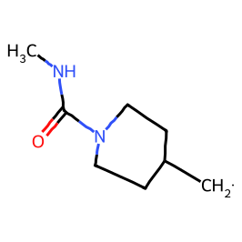 [CH2]C1CCN(C(=O)NC)CC1